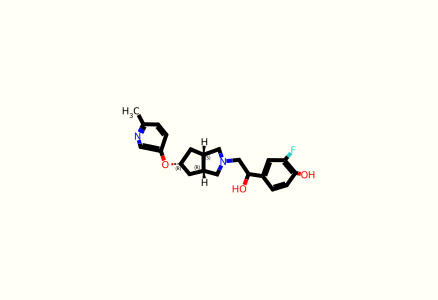 Cc1ccc(O[C@@H]2C[C@@H]3CN(CC(O)c4ccc(O)c(F)c4)C[C@@H]3C2)cn1